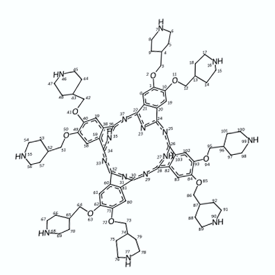 c1c(OCC2CCNCC2)c(OCC2CCNCC2)cc2c1-c1nc-2nc2[nH]c(nc3nc(nc4[nH]c(n1)c1cc(OCC5CCNCC5)c(OCC5CCNCC5)cc41)-c1cc(OCC4CCNCC4)c(OCC4CCNCC4)cc1-3)c1cc(OCC3CCNCC3)c(OCC3CCNCC3)cc21